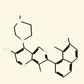 O=C(O)N1CCN(c2c(O)cnc3c(F)c(-c4cccc5ccc(F)c(Cl)c45)ncc23)CC1